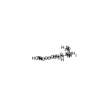 Nc1nc2cc(-c3nn(CCCCNC(=O)CCC(=O)NCCOCCOCCOCCOCCOCCn4cc(CO)nn4)c4ncnc(N)c34)ccc2o1